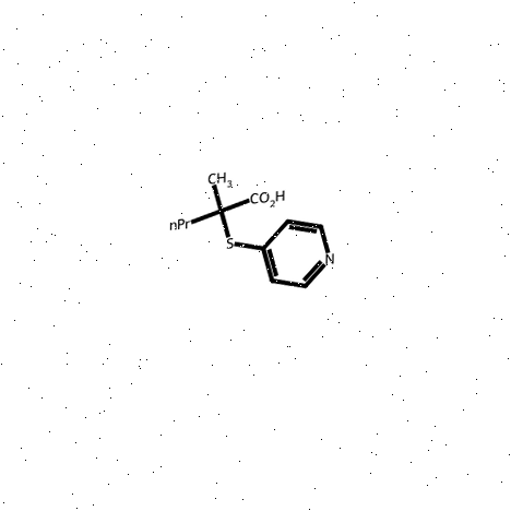 CCCC(C)(Sc1ccncc1)C(=O)O